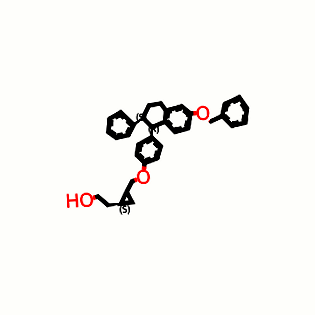 OCC[C@@H]1CC1COc1ccc([C@@H]2c3ccc(OCc4ccccc4)cc3CC[C@@H]2c2ccccc2)cc1